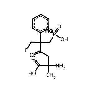 CC(N)(CC(=O)C(CF)(CP(=O)(O)O)c1ccccc1)C(=O)O